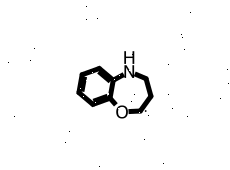 [CH]1CCNc2ccccc2O1